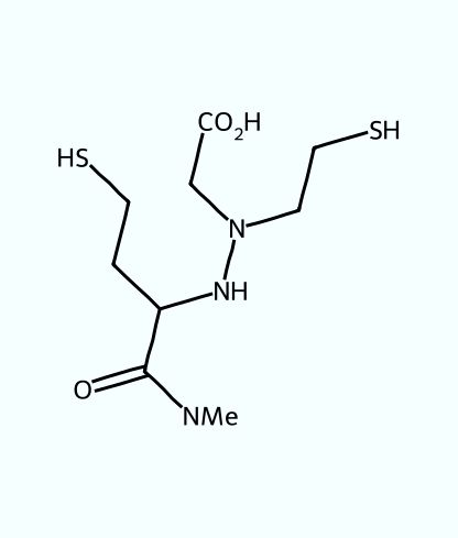 CNC(=O)C(CCS)NN(CCS)CC(=O)O